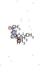 CCCCCC(O[SiH](C)C)n1nc(C(C)=O)cc1C